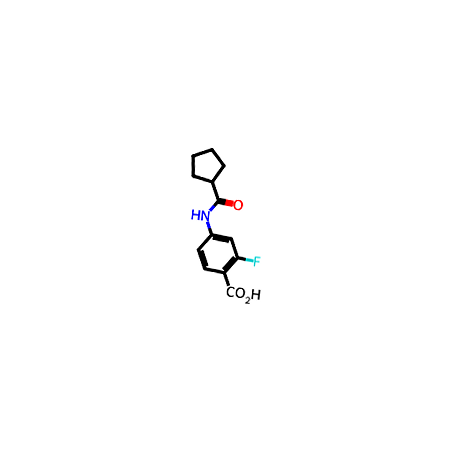 O=C(O)c1ccc(NC(=O)C2CCCC2)cc1F